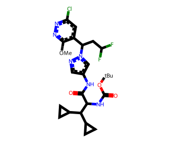 COc1nnc(Cl)cc1C(CC(F)F)n1cc(NC(=O)C(NC(=O)OC(C)(C)C)C(C2CC2)C2CC2)cn1